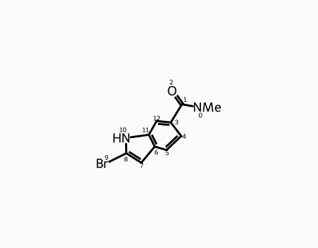 CNC(=O)c1ccc2cc(Br)[nH]c2c1